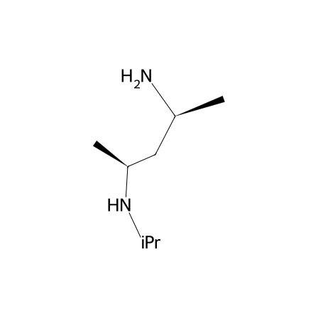 CC(C)N[C@@H](C)C[C@H](C)N